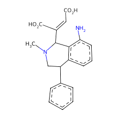 CN1CC(c2ccccc2)c2cccc(N)c2C1C(=CC(=O)O)C(=O)O